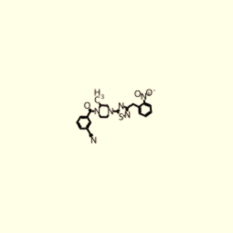 CC1CN(c2nc(Cc3ccccc3[N+](=O)[O-])ns2)CCN1C(=O)c1cccc(C#N)c1